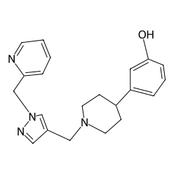 Oc1cccc(C2CCN(Cc3cnn(Cc4ccccn4)c3)CC2)c1